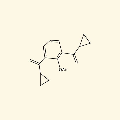 C=C(c1cccc(C(=C)C2CC2)c1OC(C)=O)C1CC1